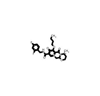 CCCCOc1c2n(cc(C(=O)NCc3ccc(F)cc3F)c1=O)CC1OCC[C@@H](C)N1C2=O